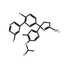 Cc1cc(C2(c3ccc(F)c(-c4cncc(F)c4)c3)CCC(N)=N2)ccc1OC(F)F